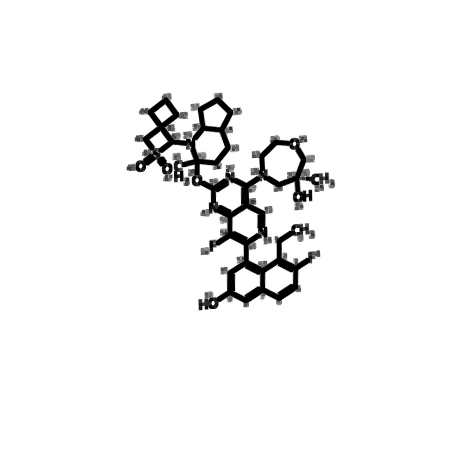 CCc1c(F)ccc2cc(O)cc(-c3ncc4c(N5CCOC[C@@](C)(O)C5)nc(OC5(C)CCC6CCCC6N5C5C6(CCC6)CS5(=O)=O)nc4c3F)c12